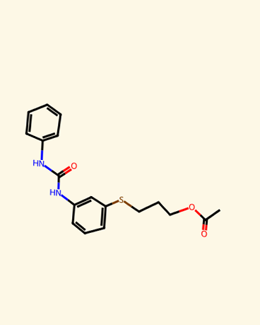 CC(=O)OCCCSc1cccc(NC(=O)Nc2ccccc2)c1